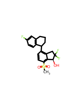 CS(=O)(=O)c1ccc(C2CCCc3cc(F)ccc32)c2c1[C@H](O)C(F)(F)C2